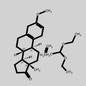 C=C.CCOC(C)OCC.COC1=CCC2=C(CC[C@@H]3[C@@H]2CC[C@]2(C)C(=O)CC[C@@H]32)C1